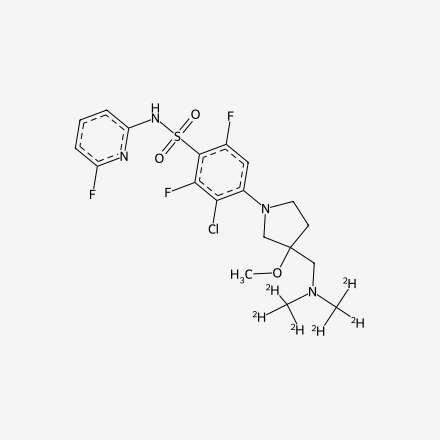 [2H]C([2H])([2H])N(CC1(OC)CCN(c2cc(F)c(S(=O)(=O)Nc3cccc(F)n3)c(F)c2Cl)C1)C([2H])([2H])[2H]